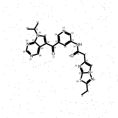 CCc1nn2cc(CC(=O)Nc3cncc(C(=O)c4cn(C(C)C)c5ncncc45)c3)nc2s1